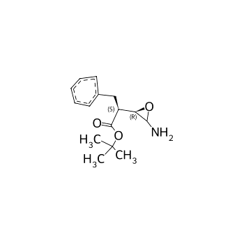 CC(C)(C)OC(=O)[C@@H](Cc1ccccc1)[C@H]1OC1N